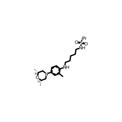 Cc1cc(N2C[C@@H](C)O[C@@H](C)C2)ccc1NCCCCCNS(=O)(=O)C(C)C